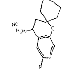 Cl.NC1CC2(CCCCC2)Oc2ccc(F)cc21